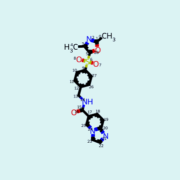 Cc1nc(C)c(S(=O)(=O)c2ccc(CNC(=O)c3ccc4nccn4c3)cc2)o1